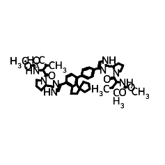 COC(=O)NC(C(=O)N1CCCC1c1nc(-c2ccc(-c3ccc(-c4c[nH]c(C5CCCN5C(=O)C(NC(=O)OC)C(C)C)n4)c4c3C3(CCCC3)CC4)cc2)c[nH]1)C(C)C